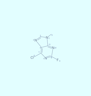 Cn1cnc2c(Cl)nc(F)nc21